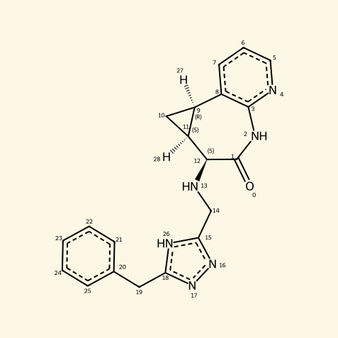 O=C1Nc2ncccc2[C@@H]2C[C@@H]2[C@@H]1NCc1nnc(Cc2ccccc2)[nH]1